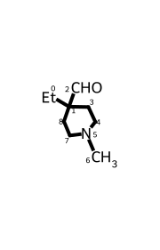 CCC1(C=O)CCN(C)CC1